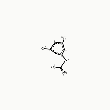 N=C(S)Sc1cc(Cl)cc(Cl)c1